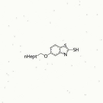 CCCCCCCCOc1ccc2sc(S)nc2c1